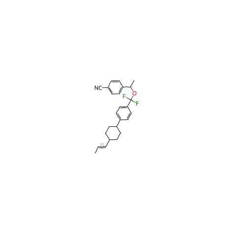 C/C=C/C1CCC(c2ccc(C(F)(F)OC(C)c3ccc(C#N)cc3)cc2)CC1